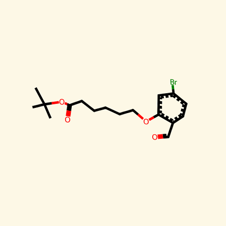 CC(C)(C)OC(=O)CCCCCOc1cc(Br)ccc1C=O